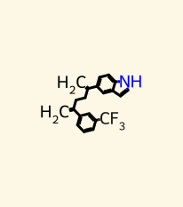 C=C(CCC(=C)c1ccc2[nH]ccc2c1)c1cccc(C(F)(F)F)c1